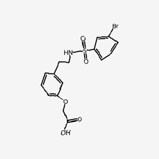 O=C(O)COc1cccc(CCNS(=O)(=O)c2cccc(Br)c2)c1